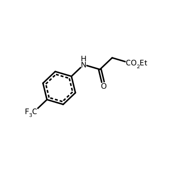 CCOC(=O)CC(=O)Nc1ccc(C(F)(F)F)cc1